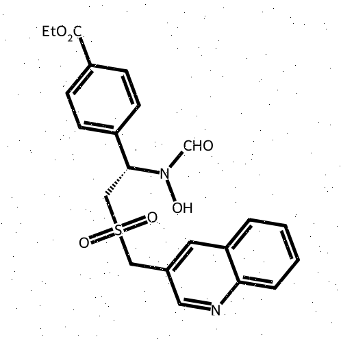 CCOC(=O)c1ccc([C@@H](CS(=O)(=O)Cc2cnc3ccccc3c2)N(O)C=O)cc1